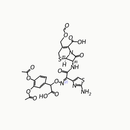 CC(=O)Oc1ccc(C(O/N=C(\C(=O)N[C@@H]2C(=O)N3C(C(=O)O)=C(COC=O)CS[C@H]23)c2csc(N)n2)C(=O)O)cc1OC(C)=O